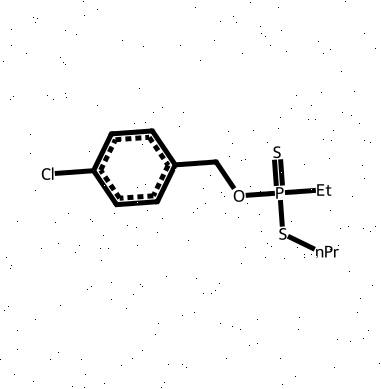 CCCSP(=S)(CC)OCc1ccc(Cl)cc1